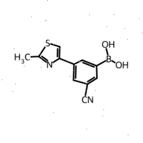 Cc1nc(-c2cc(C#N)cc(B(O)O)c2)cs1